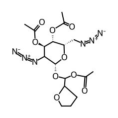 CC(=O)OC(O[C@H]1O[C@@H](CN=[N+]=[N-])[C@@H](OC(C)=O)[C@H](OC(C)=O)C1N=[N+]=[N-])C1CCCO1